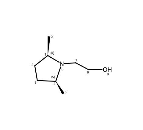 C[C@@H]1CC[C@H](C)N1CCO